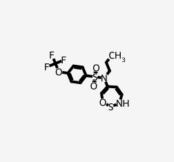 CCCN(c1cc[nH]soc1)S(=O)(=O)c1ccc(OC(F)(F)F)cc1